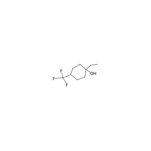 CCC1(O)CCC(C(F)(F)F)CC1